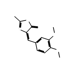 COc1ccc(C=C2N=C(C)OC2=O)cc1OC